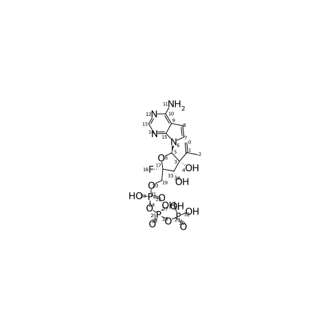 C=C(C)[C@]1(O)[C@H](n2ccc3c(N)ncnc32)O[C@](F)(COP(=O)(O)OP(=O)(O)OP(=O)(O)O)[C@H]1O